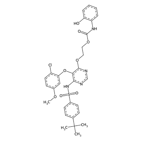 COc1ccc(Cl)c(Oc2c(NS(=O)(=O)c3ccc(C(C)(C)C)cc3)ncnc2OCCOC(=O)Nc2ccccc2O)c1